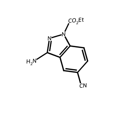 CCOC(=O)n1nc(N)c2cc(C#N)ccc21